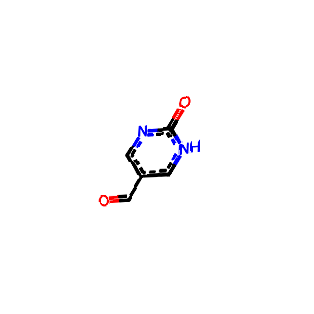 O=Cc1cnc(=O)[nH]c1